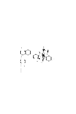 COc1ncc(-c2ccc3nccc(N4CCNCC4)c3c2)cc1N(OC(=O)C(F)(F)F)S(=O)(=O)c1c(F)cc(F)cc1F